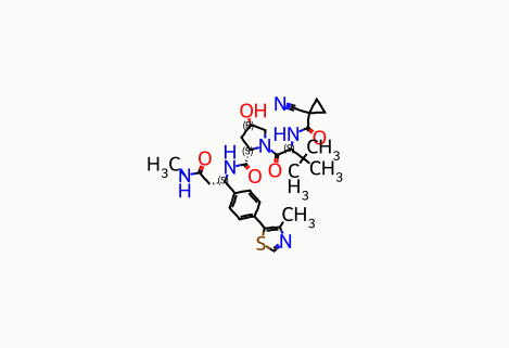 CNC(=O)C[C@H](NC(=O)[C@@H]1C[C@@H](O)CN1C(=O)[C@@H](NC(=O)C1(C#N)CC1)C(C)(C)C)c1ccc(-c2scnc2C)cc1